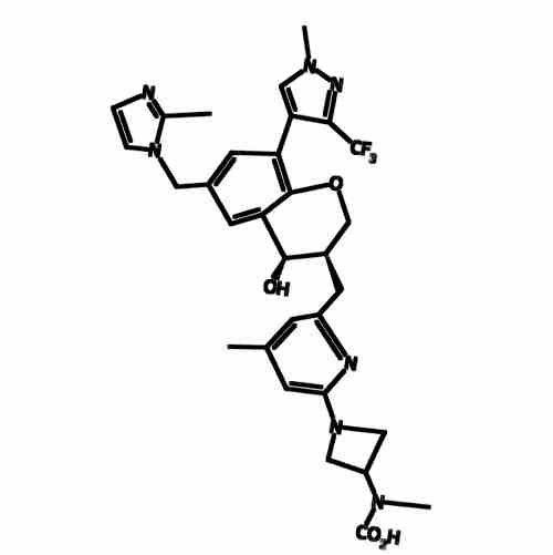 Cc1cc(C[C@@H]2COc3c(-c4cn(C)nc4C(F)(F)F)cc(Cn4ccnc4C)cc3[C@@H]2O)nc(N2CC(N(C)C(=O)O)C2)c1